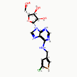 OC[C@H]1O[C@@H](n2cnc3c(NCc4csc(Cl)c4)ncnc32)[C@H](O)[C@@H]1O